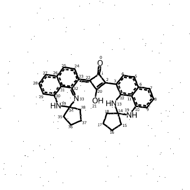 O=C1C(c2ccc3cccc4c3c2NC2(CCCC2)N4)=C(O)/C1=c1/ccc2cccc3c2c1=NC1(CCCC1)N3